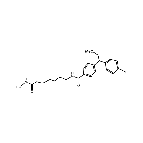 COCC(c1ccc(F)cc1)c1ccc(C(=O)NCCCCCCC(=O)NO)cc1